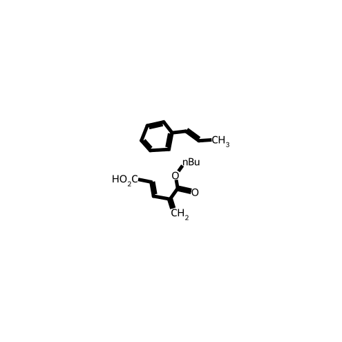 C=C(C=CC(=O)O)C(=O)OCCCC.CC=Cc1ccccc1